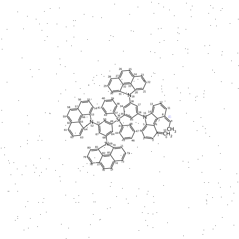 C=c1cccc2c1c1/c(=C\C)cccc1n2-c1cc(-n2c3cccc4ccc5cccc2c5c43)cc([Si](c2ccccc2)(c2ccccc2)c2cc(-n3c4cccc5ccc6cccc3c6c54)cc(-n3c4cccc5ccc6cccc3c6c54)c2)c1